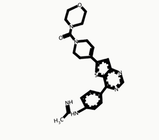 CC(=N)Nc1ccc(-c2ncnc3cc(C4=CCN(C(=O)N5CCOCC5)CC4)sc23)cc1